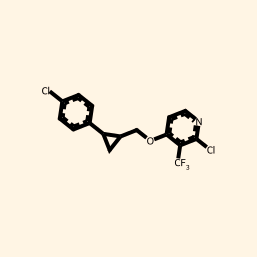 FC(F)(F)c1c(OCC2CC2c2ccc(Cl)cc2)ccnc1Cl